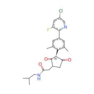 Cc1cc(-c2ncc(Cl)cc2F)cc(C)c1[C@H]1C(=O)CC(CC(=O)NCC(C)C)C1=O